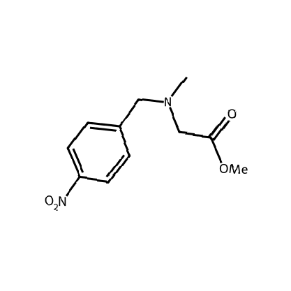 COC(=O)CN(C)Cc1ccc([N+](=O)[O-])cc1